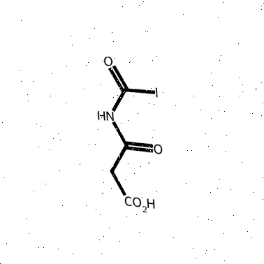 O=C(O)CC(=O)NC(=O)I